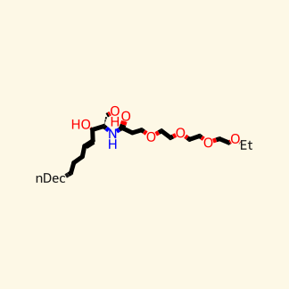 CCCCCCCCCCCCC/C=C/[C@@H](O)[C@H](CO)NC(=O)CCOCCOCCOCCOCC